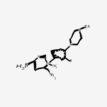 CCN1CCN(c2ccc([N+]3(C)C=NC(N)=CC3N)cc2F)CC1